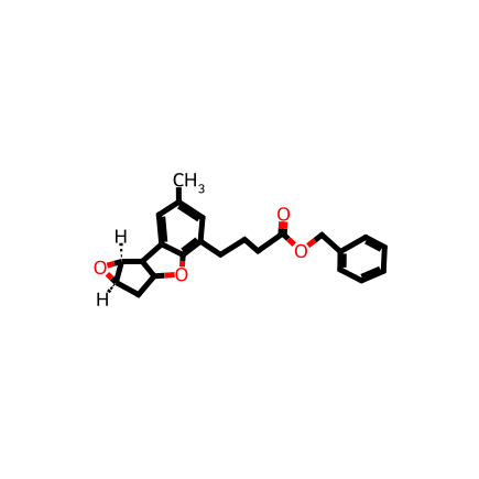 Cc1cc(CCCC(=O)OCc2ccccc2)c2c(c1)C1C(C[C@H]3O[C@@H]13)O2